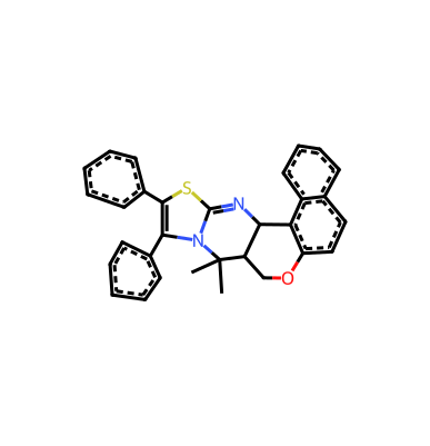 CC1(C)C2COc3ccc4ccccc4c3C2N=C2SC(c3ccccc3)=C(c3ccccc3)N21